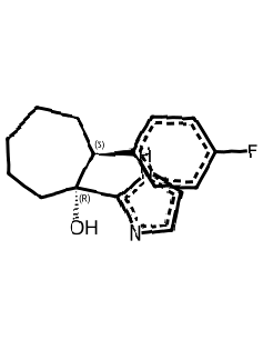 O[C@]1(c2ncc[nH]2)CCCCC[C@H]1c1ccc(F)cc1